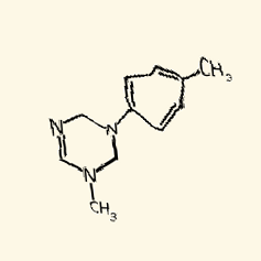 Cc1ccc(N2CN=CN(C)C2)cc1